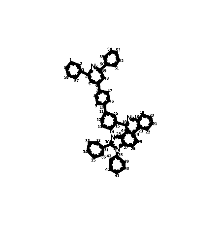 c1ccc(-c2cc(-c3ccc(-c4cccc(-c5nc6ccccc6c6ccc7c(nc(-c8ccccc8)n7-c7ccccc7)c56)c4)cc3)cc(-c3ccccc3)n2)cc1